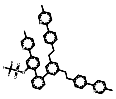 Cc1ccc(-c2ccc(CCc3cc(CCc4ccc(-c5ccc(C)cn5)cc4)cc(-c4ccccc4-c4ccc(-c5ccc(C)cn5)cc4OS(=O)(=O)C(F)(F)F)c3)cc2)nc1